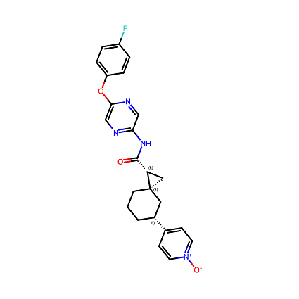 O=C(Nc1cnc(Oc2ccc(F)cc2)cn1)[C@@H]1C[C@]12CCC[C@@H](c1cc[n+]([O-])cc1)C2